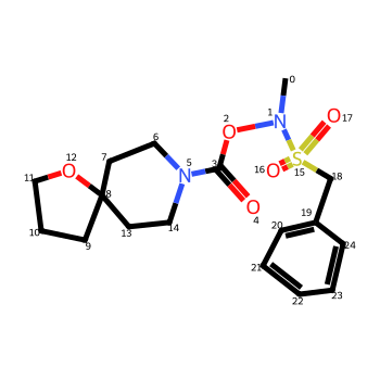 CN(OC(=O)N1CCC2(CCCO2)CC1)S(=O)(=O)Cc1ccccc1